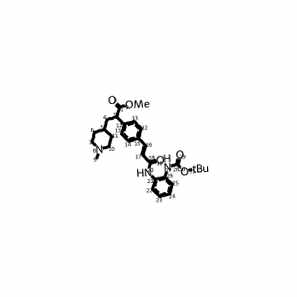 COC(=O)C(CC1CCN(C)CC1)c1ccc(C=CC(=O)Nc2ccccc2NC(=O)OC(C)(C)C)cc1